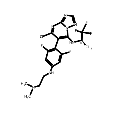 C[C@@H](Nc1c(-c2c(F)cc(NCCN(C)C)cc2F)c(Cl)nc2ncnn12)C(F)(F)F